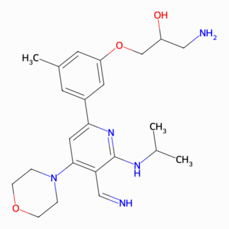 Cc1cc(OCC(O)CN)cc(-c2cc(N3CCOCC3)c(C=N)c(NC(C)C)n2)c1